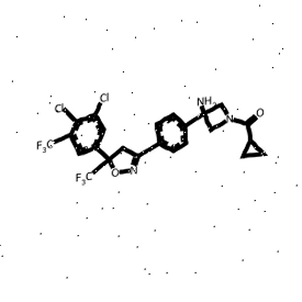 NC1(c2ccc(C3=NOC(c4cc(Cl)c(Cl)c(C(F)(F)F)c4)(C(F)(F)F)C3)cc2)CN(C(=O)C2CC2)C1